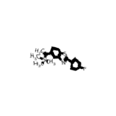 C=C(c1ccc2sc(-c3ccc(F)cc3)nc2c1)[Si](C)(C)C